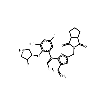 C=Nc1cc(CN2C(=O)C3CCCC3C2=O)sc1/C(=C\C)c1cc(Cl)cc(C)c1O[C@@H]1CNC[C@@H]1F